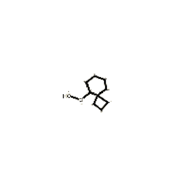 OOC1CCCCC12CCC2